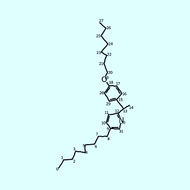 CCCCCCCCCc1ccc(C(C)c2ccc(OCCCCCCCC)cc2)nc1